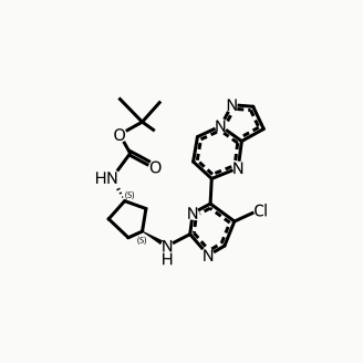 CC(C)(C)OC(=O)N[C@H]1CC[C@H](Nc2ncc(Cl)c(-c3ccn4nccc4n3)n2)C1